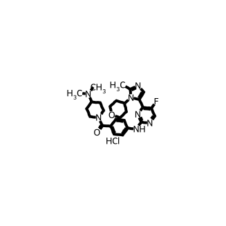 Cc1ncc(-c2nc(Nc3ccc(C(=O)N4CCC(N(C)C)CC4)cc3)ncc2F)n1C1CCOCC1.Cl